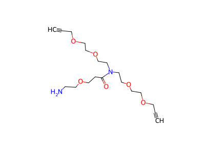 C#CCOCCOCCN(CCOCCOCC#C)C(=O)CCOCCN